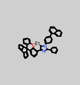 CCC1C(c2cccc3c2Oc2ccccc2C32c3ccccc3-c3ccccc32)=NC(c2ccccc2)N1c1ccc(-c2cccc3ccccc23)cc1